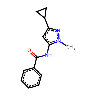 Cn1nc(C2CC2)cc1NC(=O)c1ccccc1